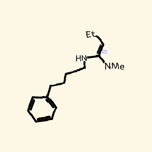 CC/C=C(/NC)NCCCCc1ccccc1